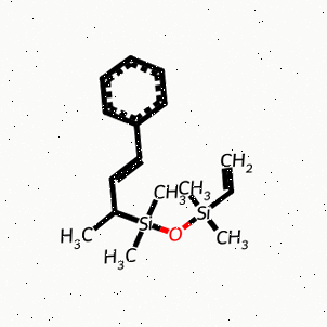 C=C[Si](C)(C)O[Si](C)(C)C(C)C=Cc1ccccc1